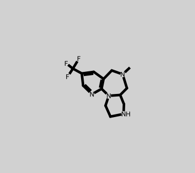 CN1Cc2cc(C(F)(F)F)cnc2N2CCNCC2C1